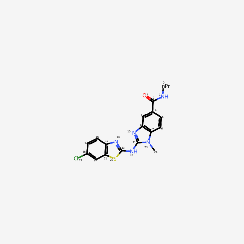 CCCNC(=O)c1ccc2c(c1)nc(Nc1nc3ccc(Cl)cc3s1)n2C